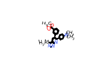 COC(=O)c1cccc(-c2cc3c([AsH2])ncnc3nc2-c2ccc(N(C)C)cc2)c1